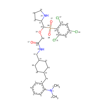 CN(C)c1ccccc1CC1CCC(CNC(=O)COC(C2CCCN2)S(=O)(=O)c2c(Cl)cc(Cl)cc2Cl)CC1